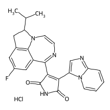 CC(C)C1Cc2cc(F)cc3c2N1C=CN=C3C1=C(c2cnc3ccccn23)C(=O)NC1=O.Cl